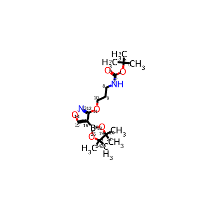 CC(C)(C)OC(=O)NCCCOc1nocc1B1OC(C)(C)C(C)(C)O1